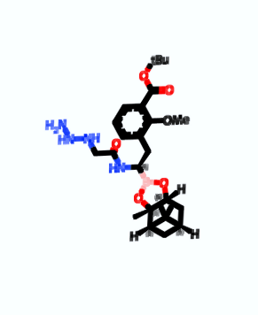 COc1c(C[C@H](NC(=O)CNNN)B2O[C@@H]3C[C@@H]4C[C@@H](C4(C)C)[C@]3(C)O2)cccc1C(=O)OC(C)(C)C